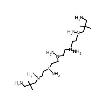 CC(C)(CN)CN(N)CCN(N)CCN(N)CCN(N)CCN(N)CC(C)(C)CN